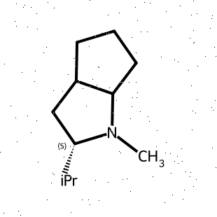 CC(C)[C@@H]1CC2CCCC2N1C